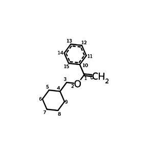 C=C(OCC1CCCCC1)c1ccccc1